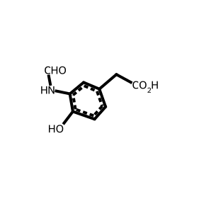 O=CNc1cc(CC(=O)O)ccc1O